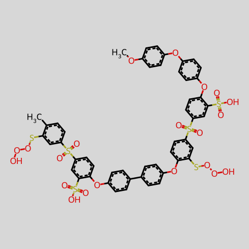 COc1ccc(Oc2ccc(Oc3ccc(S(=O)(=O)c4ccc(Oc5ccc(-c6ccc(Oc7ccc(S(=O)(=O)c8ccc(C)c(SOOO)c8)cc7S(=O)(=O)O)cc6)cc5)c(SOOO)c4)cc3S(=O)(=O)O)cc2)cc1